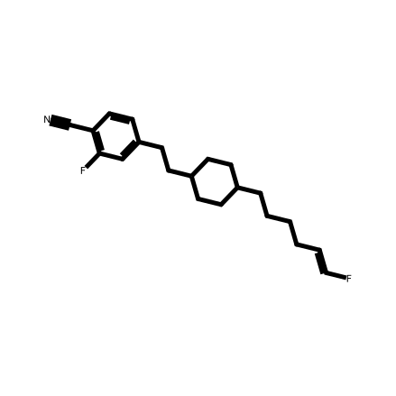 N#Cc1ccc(CCC2CCC(CCCCC=CF)CC2)cc1F